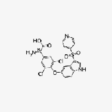 N[C@@H](C(=O)O)c1cc(Cl)c(Oc2ccc3[nH]cc(S(=O)(=O)c4ccncc4)c3c2)c(Cl)c1